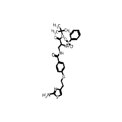 CC(C)(C)OC(=O)C(CNC(=O)c1ccc(OCCc2csc(N)n2)cc1)NS(=O)(=O)c1ccccc1